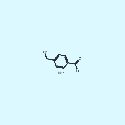 O=C([O-])c1ccc(CBr)cc1.[Na+]